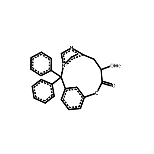 COC1Cc2cn(cn2)C(c2ccccc2)(c2ccccc2)c2cccc(c2)OC1=O